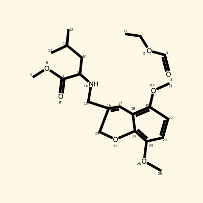 CCOC=O.COC(=O)C(CC(C)C)NCC1=Cc2c(OC)ccc(OC)c2OC1